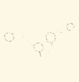 O=c1nc(OCC2COc3ncccc3O2)cc2n1CCc1cc(NCc3ncco3)ccc1-2